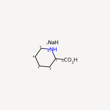 O=C(O)C1CCCCN1.[NaH]